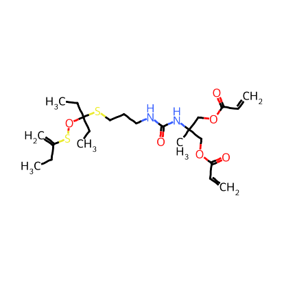 C=CC(=O)OCC(C)(COC(=O)C=C)NC(=O)NCCCSC(CC)(CC)OSC(=C)CC